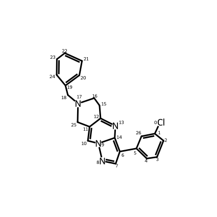 Clc1cccc(-c2cnn3cc4c(nc23)CCN(Cc2ccccc2)C4)c1